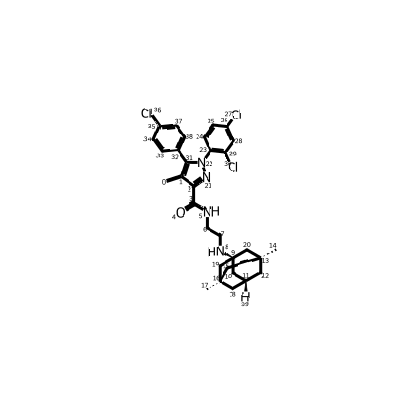 Cc1c(C(=O)NCCN[C@@]23C[C@@H]4C[C@@](C)(C[C@@](C)(C4)C2)C3)nn(-c2ccc(Cl)cc2Cl)c1-c1ccc(Cl)cc1